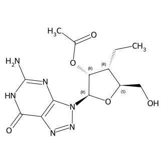 CC[C@H]1[C@@H](OC(C)=O)[C@H](n2nnc3c(=O)[nH]c(N)nc32)O[C@@H]1CO